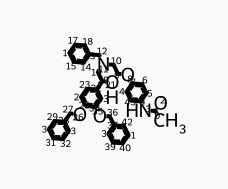 CC(=O)Nc1ccc(OCCN(Cc2ccccc2)CC(O)c2ccc(OCc3ccccc3)c(OCc3ccccc3)c2)cc1